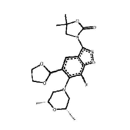 C[C@@H]1CN(c2c(C3OCCO3)cc3c(N4CC(C)(C)OC4=O)noc3c2F)C[C@H](C)O1